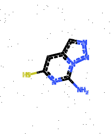 Nc1nc(S)cc2cnnn12